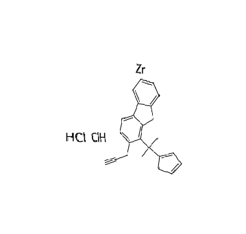 C#CCc1ccc2c(c1C(C)(C)C1=CC=CC1)Cc1ccccc1-2.Cl.Cl.[Zr]